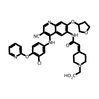 N#Cc1cnc2cc(OC3CCOC3)c(NC(=O)C=C3CCN(CC(=O)O)CC3)cc2c1Nc1ccc(Oc2ccccn2)c(Cl)c1